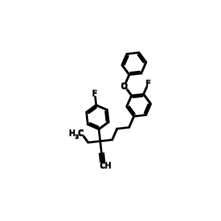 C#CC(CC)(CCCc1ccc(F)c(Oc2ccccc2)c1)c1ccc(F)cc1